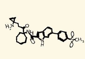 CS(=O)(=O)c1ccc(-c2ccc3cc(C(=O)NC4(C(=O)CCC5(N)CC5)CCCCCC4)[nH]c3c2)cc1